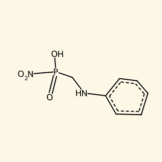 O=[N+]([O-])P(=O)(O)CNc1ccccc1